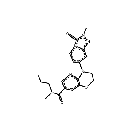 CCCN(C)C(=O)c1cnc2c(c1)OCCN2c1ccn2c(=O)n(C)nc2c1